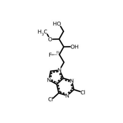 COC(CO)C(O)[C@@H](F)Cn1cnc2c(Cl)nc(Cl)nc21